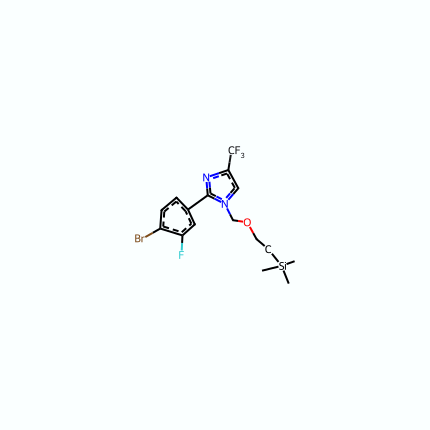 C[Si](C)(C)CCOCn1cc(C(F)(F)F)nc1-c1ccc(Br)c(F)c1